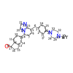 Cc1cc(Cc2ccc(-c3ccc4c(c3)CCC4=O)n3ccnc23)ccc1N1CCN(C(C)C)CC1